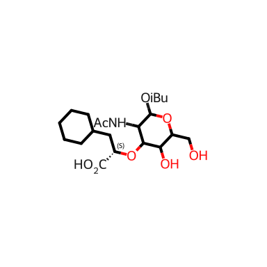 CC(=O)NC1C(OCC(C)C)OC(CO)C(O)C1O[C@@H](CC1CCCCC1)C(=O)O